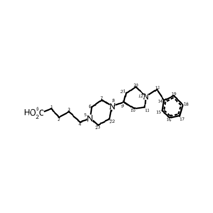 O=C(O)CCCCN1CCN(C2CCN(Cc3ccccc3)CC2)CC1